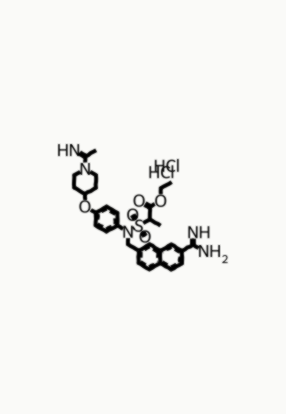 CCOC(=O)C(C)S(=O)(=O)N(Cc1ccc2ccc(C(=N)N)cc2c1)c1ccc(OC2CCN(C(C)=N)CC2)cc1.Cl.Cl